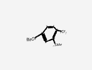 COc1ccc(C(F)(F)F)c(SC)c1